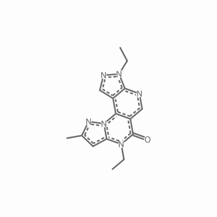 CCn1ncc2c1ncc1c(=O)n(CC)c3cc(C)nn3c12